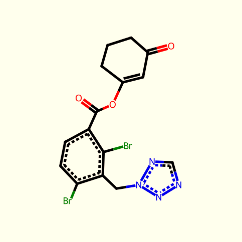 O=C1C=C(OC(=O)c2ccc(Br)c(Cn3ncnn3)c2Br)CCC1